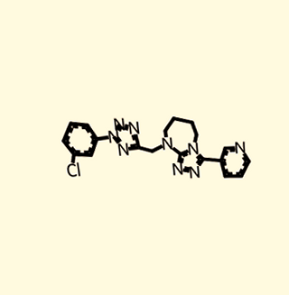 Clc1cccc(-n2nnc(CN3CCCCn4c(-c5cccnc5)nnc43)n2)c1